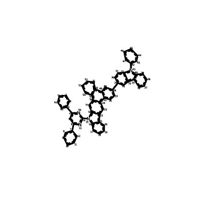 c1ccc(-c2cc(-c3ccccc3)nc(-n3c4ccccc4c4cc5c6ccc(-c7ccc8c(c7)c7ccccc7n8-c7ccccc7)cc6c6ccccc6c5cc43)n2)cc1